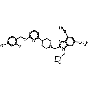 C#Cc1cc(C(=O)O)cc2c1nc(CN1CCC(c3cccc(OCc4ccc(C#N)cc4F)n3)CC1)n2C[C@@H]1CCO1